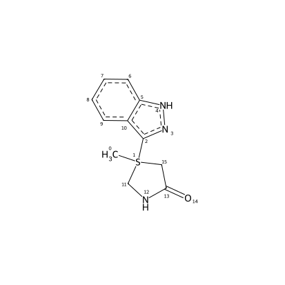 CS1(c2n[nH]c3ccccc23)CNC(=O)C1